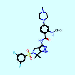 CN1CCN(c2ccc(C(=O)Nc3n[nH]c4c3CN(S(=O)(=O)c3cc(F)cc(F)c3)C4(C)C)c(NC=O)c2)CC1